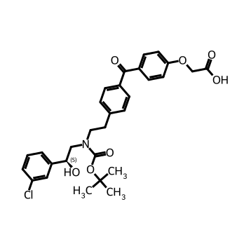 CC(C)(C)OC(=O)N(CCc1ccc(C(=O)c2ccc(OCC(=O)O)cc2)cc1)C[C@@H](O)c1cccc(Cl)c1